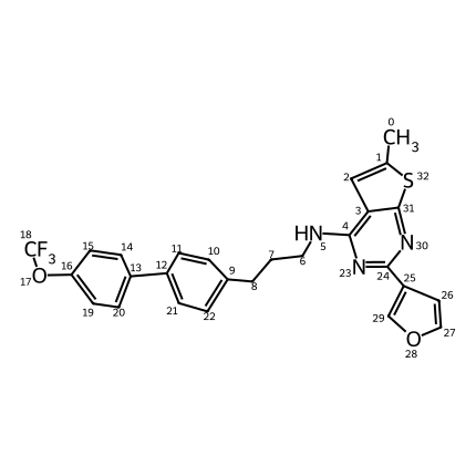 Cc1cc2c(NCCCc3ccc(-c4ccc(OC(F)(F)F)cc4)cc3)nc(-c3ccoc3)nc2s1